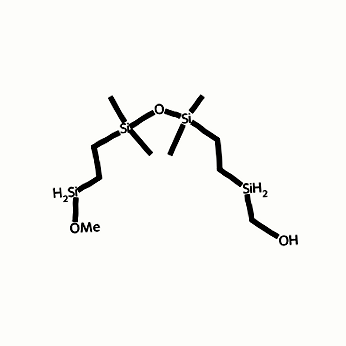 CO[SiH2]CC[Si](C)(C)O[Si](C)(C)CC[SiH2]CO